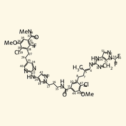 C=N/C(=N\C=C(/C)CCc1cc(C(=O)NCCCn2cc(Nc3ncc(CCc4c(F)c(C(=O)NC)cc(OC)c4Cl)cn3)cn2)cc(OC)c1Cl)Nc1cnn(C(F)F)c1